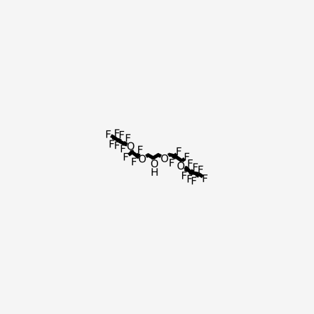 OC(COCC(F)(F)C(F)OC(F)(F)C(F)(F)C(F)(F)F)COC(F)(F)C(F)OC(F)(F)C(F)(F)C(F)(F)F